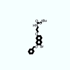 CC(C)(C)OC(=O)NCCCOc1ccc2cc(Br)c(OCc3ccccc3)cc2c1